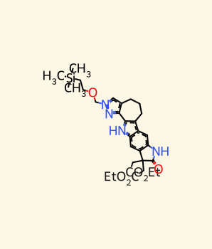 CCOC(=O)CC1(CC(=O)OCC)C(=O)Nc2cc3c4c([nH]c3cc21)-c1nn(COCC[Si](C)(C)C)cc1CCC4